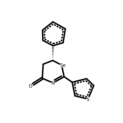 O=C1C[C@H](c2ccccc2)[Se]C(c2ccsc2)=N1